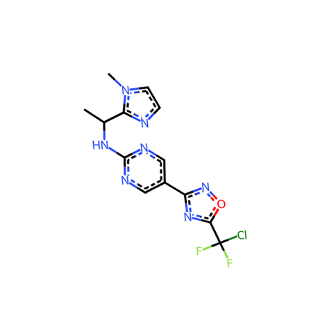 CC(Nc1ncc(-c2noc(C(F)(F)Cl)n2)cn1)c1nccn1C